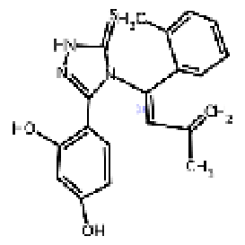 C=C(C)/C=C(\c1ccccc1C)n1c(-c2ccc(O)cc2O)n[nH]c1=S